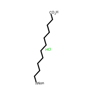 CCCCCCCCCCCCCCCCCCCC(=O)O.Cl